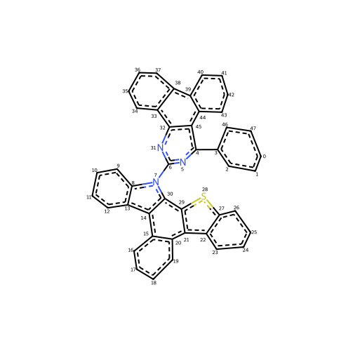 c1ccc(-c2nc(-n3c4ccccc4c4c5ccccc5c5c6ccccc6sc5c43)nc3c4ccccc4c4ccccc4c23)cc1